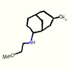 COCCNC1CCC2CC(C)CC1C2